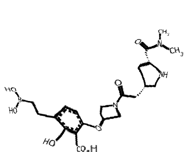 CN(C)C(=O)[C@H]1C[C@@H](CC(=O)N2CC(Oc3ccc(CCB(O)O)c(O)c3C(=O)O)C2)CN1